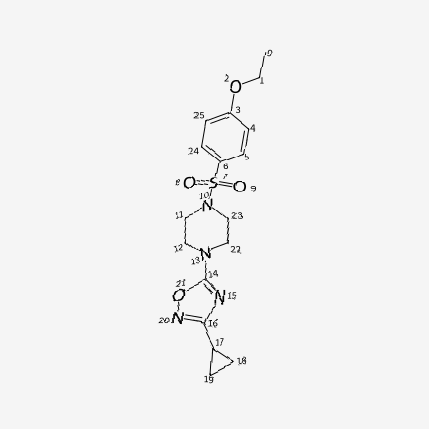 CCOc1ccc(S(=O)(=O)N2CCN(c3nc(C4CC4)no3)CC2)cc1